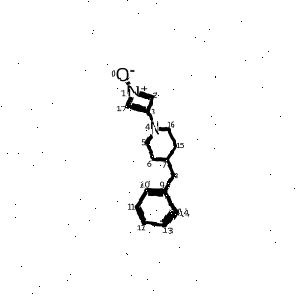 [O-][N+]1=CC(N2CCC(Cc3ccccc3)CC2)=C1